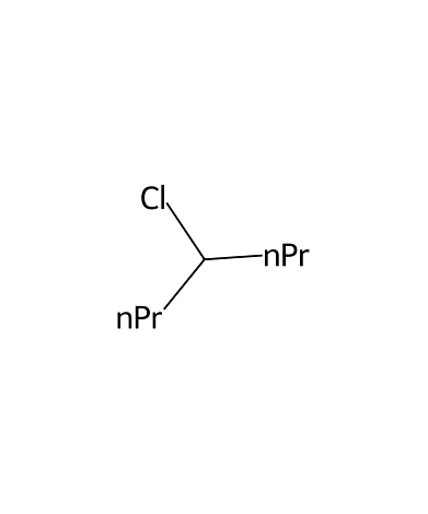 C[CH]CC(Cl)CCC